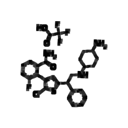 NC(=O)c1cccc(F)c1-c1cc(C(CNC2CCC(N)CC2)c2ccccc2)sc1Cl.O=C(O)C(F)(F)F